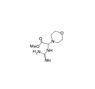 COC(=O)C(NC(=N)N)N1CCOCC1